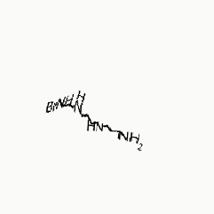 NCCCNCCCCNCCCNBr